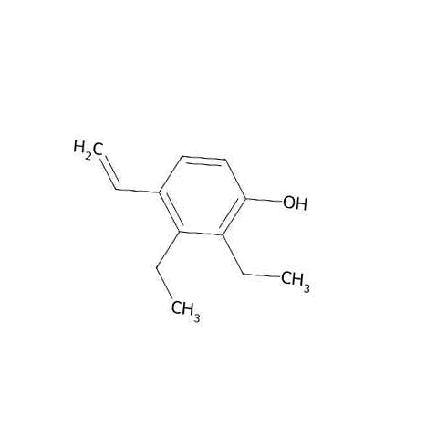 C=Cc1ccc(O)c(CC)c1CC